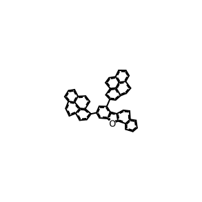 c1ccc2c(c1)ccc1c2oc2cc(-c3ccc4ccc5cccc6ccc3c4c56)cc(-c3cc4ccc5cccc6ccc(c3)c4c56)c21